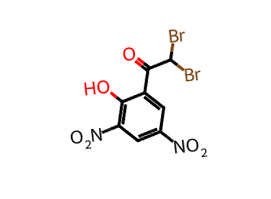 O=C(c1cc([N+](=O)[O-])cc([N+](=O)[O-])c1O)C(Br)Br